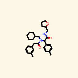 Cc1ccc(C(C(=O)NCC2CCCO2)N(CC2CCCCC2)C(=O)Cc2cccc(C)c2)cc1